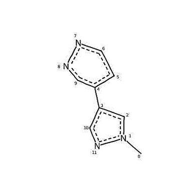 Cn1cc(-c2ccnnc2)cn1